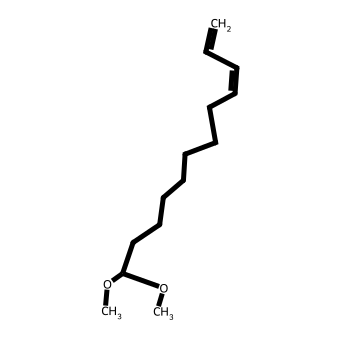 C=C/C=C\CCCCCCCC(OC)OC